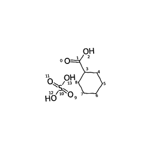 O=C(O)C1CCCCC1.O=S(=O)(O)O